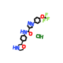 Cl.O=C(Nc1ccc(C2CNCCO2)cc1)c1cnn(-c2ccc(OC(F)(F)F)cc2)c1